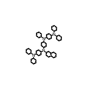 c1ccc(N(c2ccccc2)c2ccc(N(c3ccccc3)c3ccc(N(c4ccc(N(c5ccccc5)c5ccccc5)cc4)c4ccc5ccccc5c4)cc3)cc2)cc1